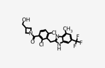 Cc1cc(C(F)(F)F)cc2[nH]c(Cc3c(Cl)ccc(C(=O)N4CC(CO)C4)c3Cl)nc12